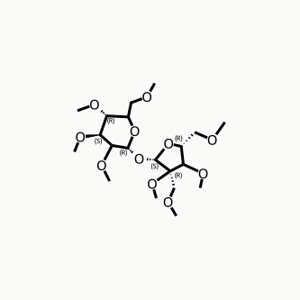 COCC1O[C@H](O[C@@H]2O[C@H](COC)C(OC)[C@@]2(COC)OC)C(OC)[C@@H](OC)[C@@H]1OC